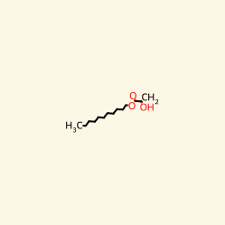 C=C(O)C(=O)OCCCCCCCCCCC